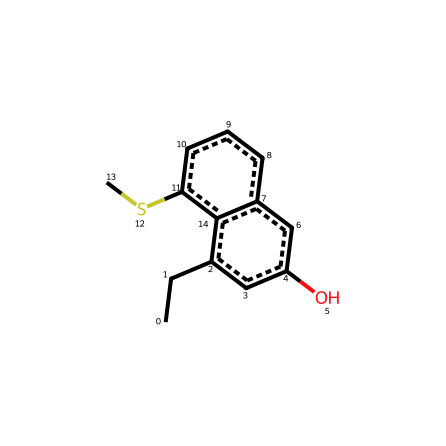 CCc1cc(O)cc2cccc(SC)c12